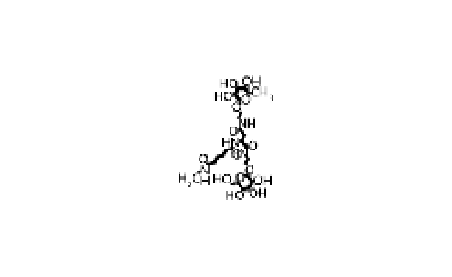 C=CNC(=O)CCCCC(=O)NC(CC(=O)NCCO[C@@H]1O[C@@H](C)[C@@H](O)[C@@H](O)[C@@H]1O)C(=O)NCCO[C@H]1O[C@H](CO)[C@@H](O)[C@H](O)[C@@H]1O